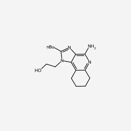 CCCCc1nc2c(N)nc3c(c2n1CCO)CCCC3